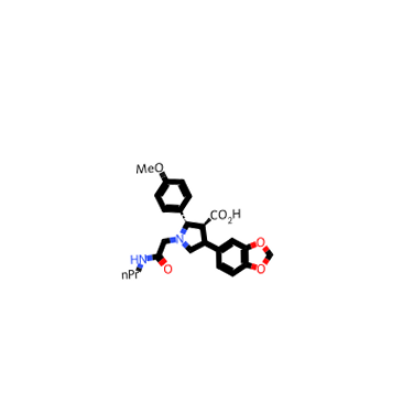 CCCNC(=O)CN1CC(c2ccc3c(c2)OCO3)[C@H](C(=O)O)[C@H]1c1ccc(OC)cc1